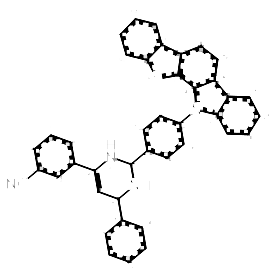 N#Cc1cccc(C2=CC(c3ccccc3)NC(c3ccc(-n4c5ccccc5c5ccc6c7ccccc7sc6c54)cc3)N2)c1